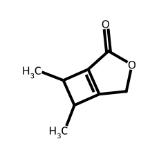 CC1C2=C(C(=O)OC2)C1C